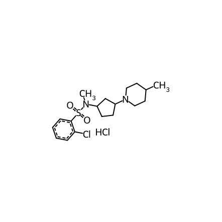 CC1CCN(C2CCC(N(C)S(=O)(=O)c3ccccc3Cl)C2)CC1.Cl